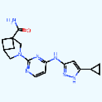 NC(=O)C12CC(CN(c3nccc(Nc4cc(C5CC5)[nH]n4)n3)C1)C2